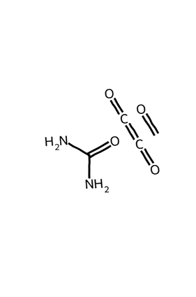 C=O.NC(N)=O.O=C=C=O